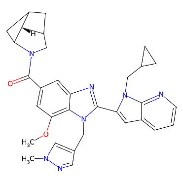 COc1cc(C(=O)N2CC3CC4CC2[C@H]43)cc2nc(-c3cc4cccnc4n3CC3CC3)n(Cc3cnn(C)c3)c12